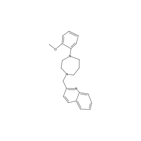 COc1ccccc1N1CCCN(Cc2ccc3ccccc3n2)CC1